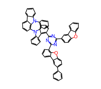 c1ccc(-c2ccc3oc4c(-c5nc(-c6ccc7oc8ccccc8c7c6)nc(-c6cccc7c6c6ccccc6n7-c6cccc7c8ccccc8n(-c8ccccc8)c67)n5)cccc4c3c2)cc1